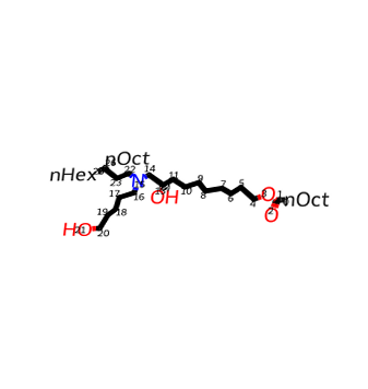 CCCCCCCCC(=O)OCCCCCCCC[C@H](O)CN(CCCCCO)CCC(CCCCCC)CCCCCCCC